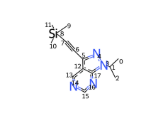 CC(C)n1nc(C#C[Si](C)(C)C)c2cncnc21